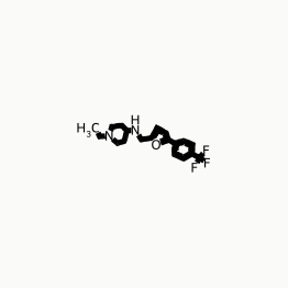 CCN1CCC(NCc2ccc(-c3ccc(C(F)(F)F)cc3)o2)CC1